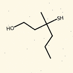 CCCC(C)(S)CCO